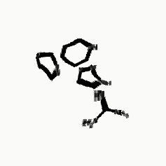 C1CCNCC1.N=C(N)N.c1c[nH]nn1.c1cscn1